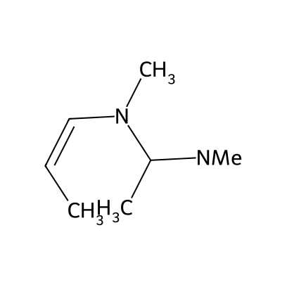 C/C=C\N(C)C(C)NC